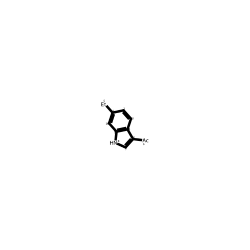 CCc1ccc2c(C(C)=O)c[nH]c2c1